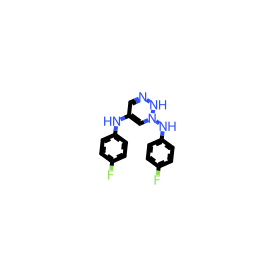 Fc1ccc(NC2=CN(Nc3ccc(F)cc3)NN=C2)cc1